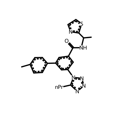 CCCc1nnnn1-c1cc(C(=O)NC(C)c2nccs2)cc(-c2ccc(C)cc2)c1